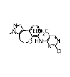 CCOC(=O)c1cnc(Cl)nc1Nc1cccc2c1OCCc1c-2cnn1C